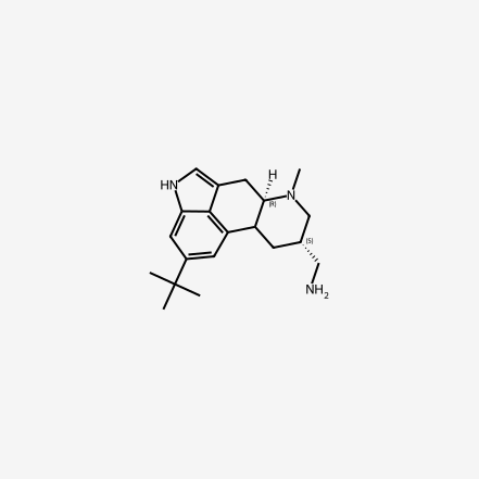 CN1C[C@H](CN)CC2c3cc(C(C)(C)C)cc4[nH]cc(c34)C[C@H]21